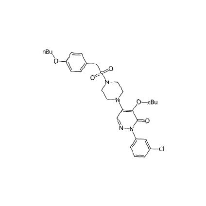 CCCCOc1ccc(CS(=O)(=O)N2CCN(c3cnn(-c4cccc(Cl)c4)c(=O)c3OCCCC)CC2)cc1